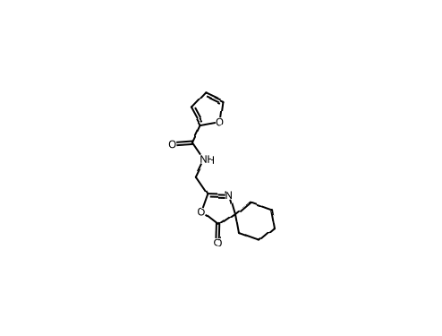 O=C(NCC1=NC2(CCCCC2)C(=O)O1)c1ccco1